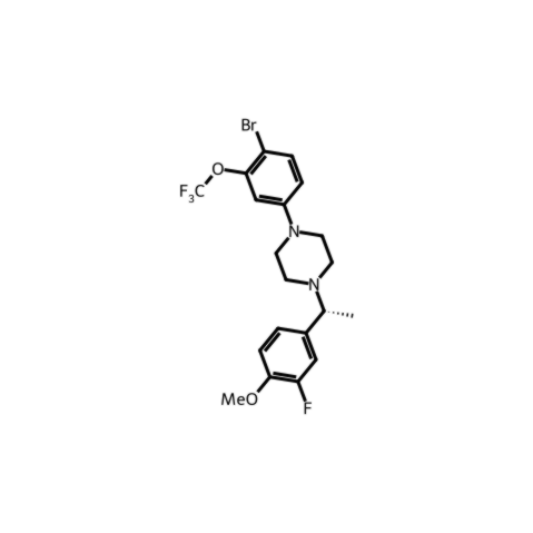 COc1ccc([C@@H](C)N2CCN(c3ccc(Br)c(OC(F)(F)F)c3)CC2)cc1F